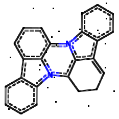 C1=c2c3ccccc3n3c2c(n2c4ccccc4c4cccc3c42)CC1